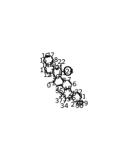 Cc1cc2c3c(ccc2cc1-c1ccc2ccccc2c1C(C)C=O)C1=C(CC(C)(C)C=C1)C(C)C3(C)C